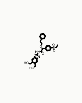 CCS(=O)(=O)c1ccc(C(OCCc2ccccc2)C(=O)Nc2nc3cc(CO)c(CO)cc3s2)cc1